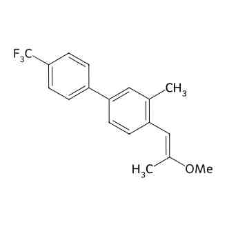 COC(C)=Cc1ccc(-c2ccc(C(F)(F)F)cc2)cc1C